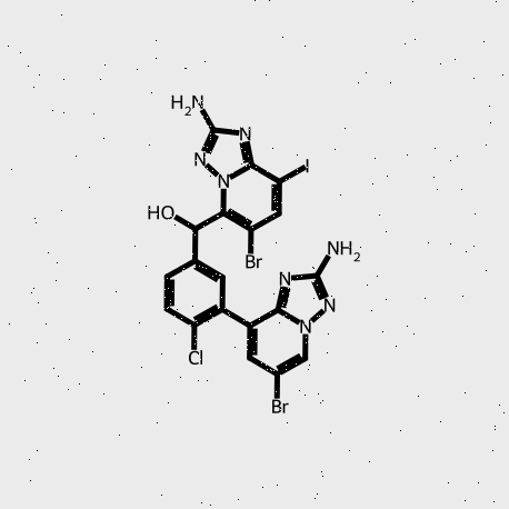 Nc1nc2c(-c3cc(C(O)c4c(Br)cc(I)c5nc(N)nn45)ccc3Cl)cc(Br)cn2n1